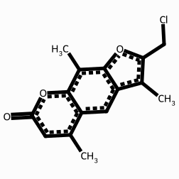 Cc1cc(=O)oc2c(C)c3oc(CCl)c(C)c3cc12